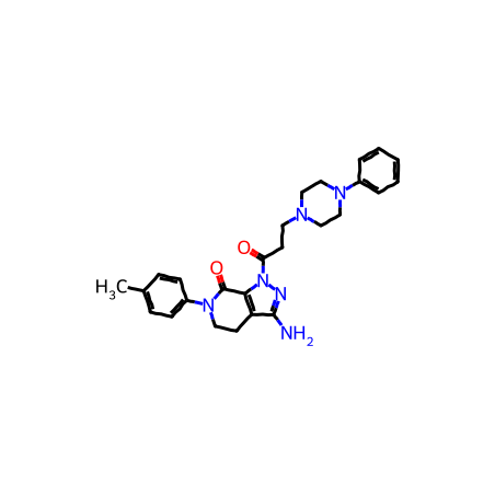 Cc1ccc(N2CCc3c(N)nn(C(=O)CCN4CCN(c5ccccc5)CC4)c3C2=O)cc1